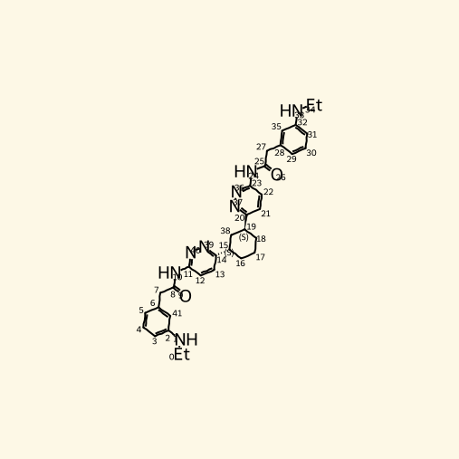 CCNc1cccc(CC(=O)Nc2ccc([C@H]3CCC[C@H](c4ccc(NC(=O)Cc5cccc(NCC)c5)nn4)C3)nn2)c1